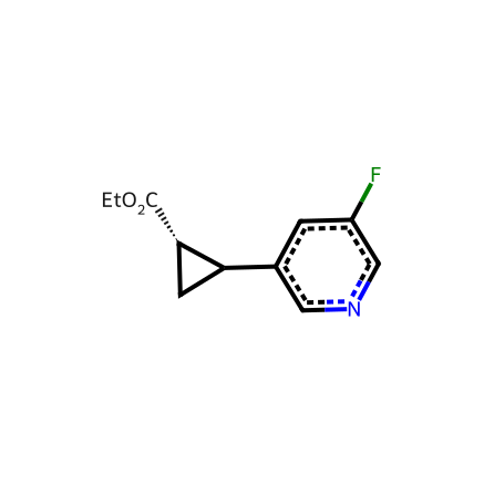 CCOC(=O)[C@H]1CC1c1cncc(F)c1